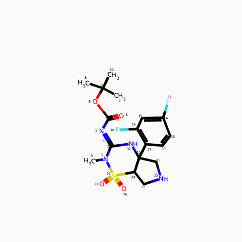 CN1/C(=N/C(=O)OC(C)(C)C)NC2(c3ccc(F)cc3F)CNCC2S1(=O)=O